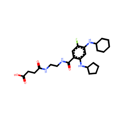 O=C(O)CCC(=O)NCCNC(=O)c1cc(F)c(NC2CCCCC2)cc1NC1CCCC1